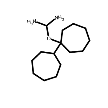 NC(N)OC1(C2CCCCCC2)CCCCCC1